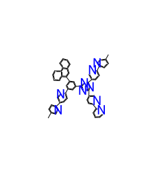 Cc1ccc(-c2ccc(-c3cc(-c4nc(-c5ccc(-c6ccccn6)nc5)nc(-c5ccc(-c6ccc(C)cn6)nc5)n4)cc(-c4cc5ccccc5c5ccccc45)c3)nc2)nc1